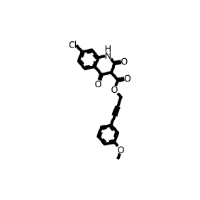 COc1cccc(C#CCOC(=O)C2C(=O)Nc3cc(Cl)ccc3C2=O)c1